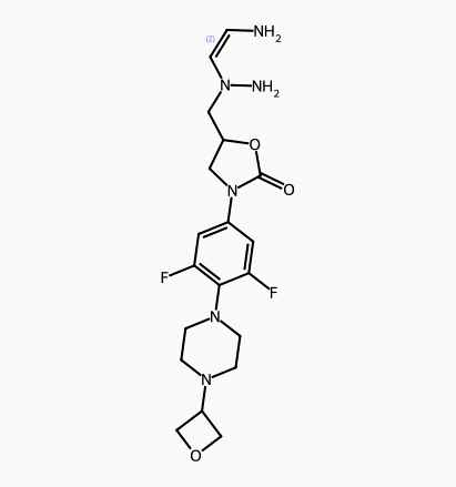 N/C=C\N(N)CC1CN(c2cc(F)c(N3CCN(C4COC4)CC3)c(F)c2)C(=O)O1